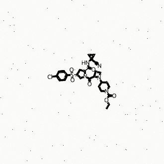 CCOC(=O)N1CCC(N2CCC2C(=O)N2C[C@H](S(=O)(=O)c3ccc(Cl)cc3)C[C@H]2C(=O)NC2(C#N)CC2)CC1